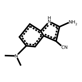 CN(C)c1ccc2[nH]c(N)c(C#N)c2c1